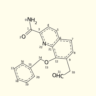 NC(=O)c1ccc2ccc(CC=O)c(OCc3ccccc3)c2n1